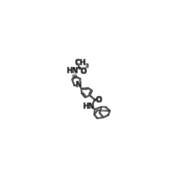 CC(=O)N[C@H]1CCN(c2ccc(C(=O)NC3C4CC5CC(C4)CC3C5)cc2)C1